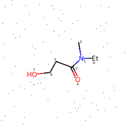 CCN(C)C(=O)CCO